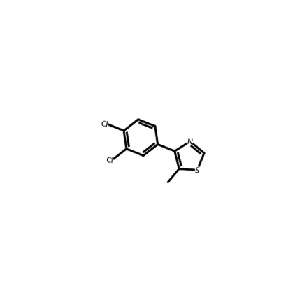 Cc1scnc1-c1ccc(Cl)c(Cl)c1